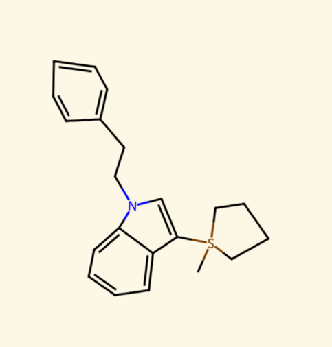 CS1(c2cn(CCc3ccccc3)c3ccccc23)CCCC1